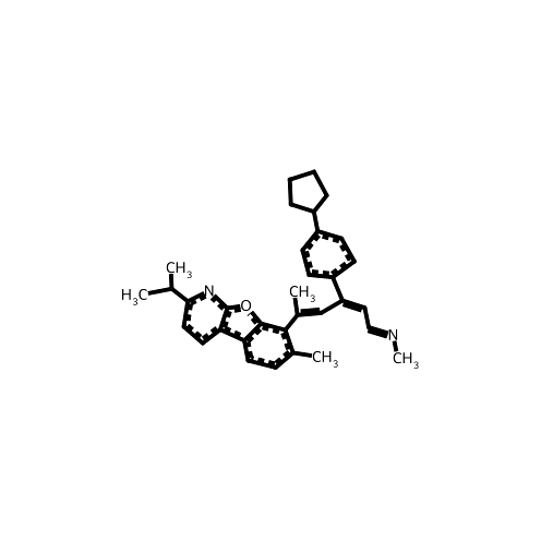 C/N=C/C=C(\C=C(/C)c1c(C)ccc2c1oc1nc(C(C)C)ccc12)c1ccc(C2CCCC2)cc1